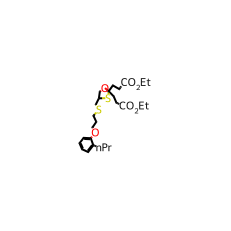 CCCc1ccccc1OCCCSCC1COC(CCC(=O)OCC)(CCC(=O)OCC)S1